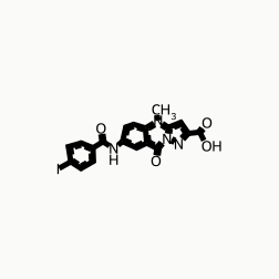 Cn1c2ccc(NC(=O)c3ccc(I)cc3)cc2c(=O)n2nc(C(=O)O)cc12